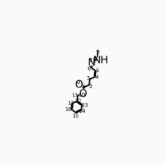 O=C(CC/C=C\C=N/NI)OCc1ccccc1